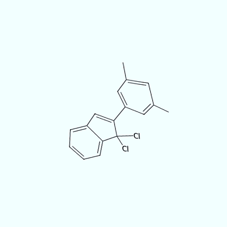 Cc1cc(C)cc(C2=Cc3ccccc3C2(Cl)Cl)c1